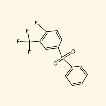 O=S(=O)(c1ccccc1)c1ccc(F)c(C(F)(F)F)c1